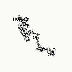 CN(CCN(C)C(=O)Oc1cc2c(c3ccccc13)CCN2C(=O)C12CC3(C(=O)N4CC(CCl)c5c4cc(OP(=O)(O)O)c4ccccc54)CC13C2)C(=O)OCCSSC[C@H](NC(=O)CCCCCN1C(=O)C=CC1=O)C(=O)O